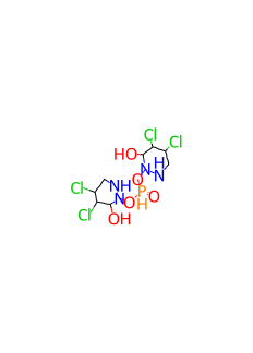 O=[PH](ON1NCC(Cl)C(Cl)C1O)ON1NCC(Cl)C(Cl)C1O